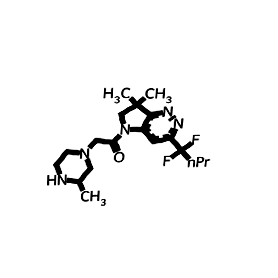 CCCC(F)(F)c1cc2c(nn1)C(C)(C)CN2C(=O)CN1CCNC(C)C1